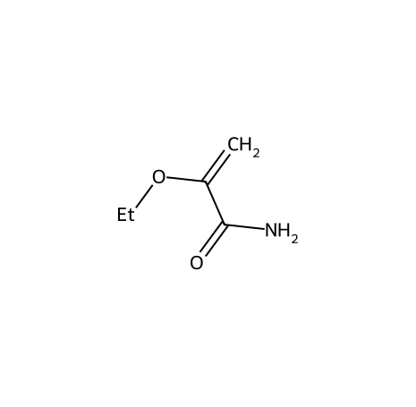 C=C(OCC)C(N)=O